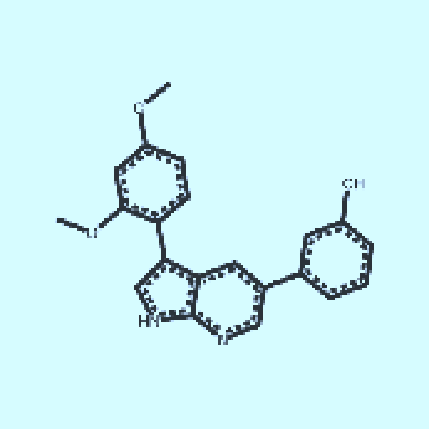 COc1ccc(-c2c[nH]c3ncc(-c4cccc(O)c4)cc23)c(OC)c1